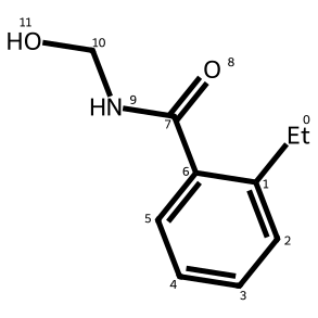 CCc1ccccc1C(=O)NCO